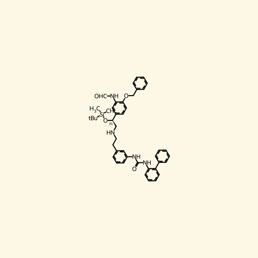 CC(C)(C)[Si](C)(C)O[C@H](CNCCc1cccc(NC(=O)Nc2ccccc2-c2ccccc2)c1)c1ccc(OCc2ccccc2)c(NC=O)c1